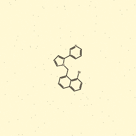 Brc1cccc2cccc(Cn3cccc3-c3cccnc3)c12